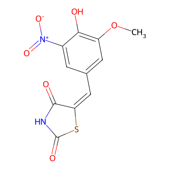 COc1cc(C=C2SC(=O)NC2=O)cc([N+](=O)[O-])c1O